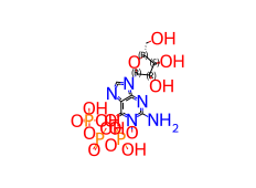 Nc1nc2c(ncn2[C@@H]2O[C@H](CO)[C@@H](O)[C@H]2O)c(=O)n1OP(=O)(O)OP(=O)(O)OP(=O)(O)O